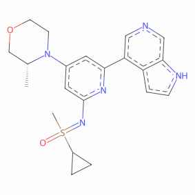 C[C@@H]1COCCN1c1cc(N=S(C)(=O)C2CC2)nc(-c2cncc3[nH]ccc23)c1